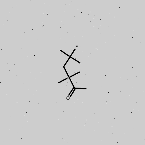 CC(=O)C(C)(C)CC(C)(C)F